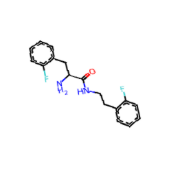 NC(Cc1ccccc1F)C(=O)NCCc1ccccc1F